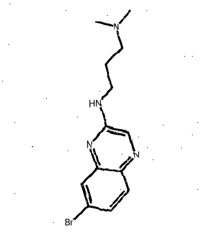 CN(C)CCCNc1cnc2ccc(Br)cc2n1